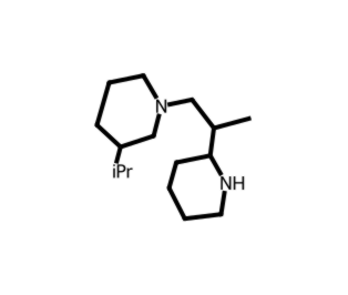 CC(C)C1CCCN(CC(C)C2CCCCN2)C1